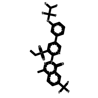 CCS(=O)(=O)c1cc(-c2cccc(OC(F)(F)C(F)F)c2)cnc1-n1nc(C)c2ccc(C(F)(F)F)cc2c1=O